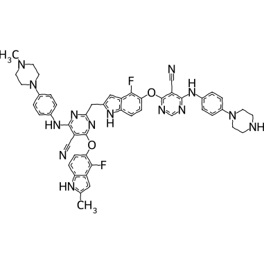 Cc1cc2c(F)c(Oc3nc(Cc4cc5c(F)c(Oc6ncnc(Nc7ccc(N8CCNCC8)cc7)c6C#N)ccc5[nH]4)nc(Nc4ccc(N5CCN(C)CC5)cc4)c3C#N)ccc2[nH]1